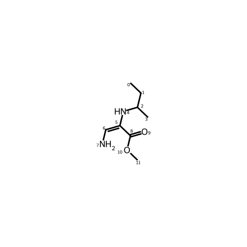 CCC(C)NC(=CN)C(=O)OC